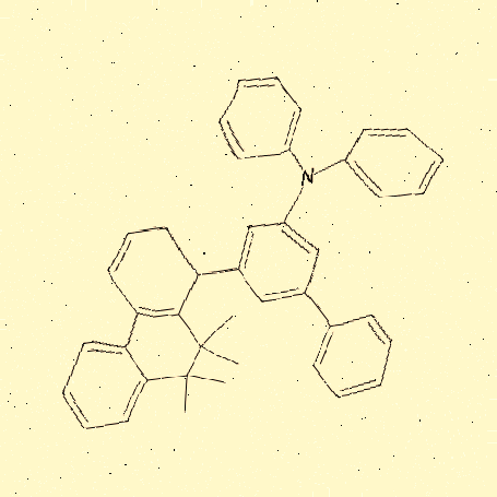 CC1(C)C2=C(C=CCC2c2cc(-c3ccccc3)cc(N(c3ccccc3)c3ccccc3)c2)c2ccccc2C1(C)C